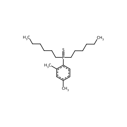 CCCCCCP(=S)(CCCCCC)c1ccc(C)cc1C